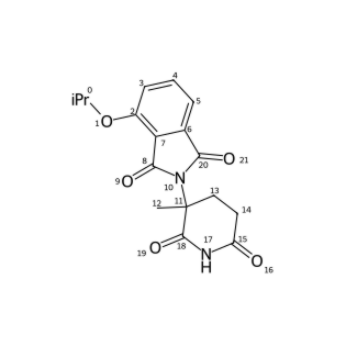 CC(C)Oc1cccc2c1C(=O)N(C1(C)CCC(=O)NC1=O)C2=O